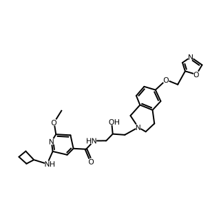 COc1cc(C(=O)NCC(O)CN2CCc3cc(OCc4cnco4)ccc3C2)cc(NC2CCC2)n1